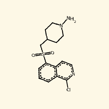 NN1CCC(CS(=O)(=O)c2cccc3c(Cl)nccc23)CC1